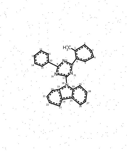 Cc1ccccc1-c1nc(-c2ccccc2)nc(-n2c3ccccc3c3ccccc32)n1